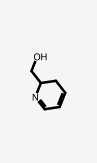 OCC1CC=CC=N1